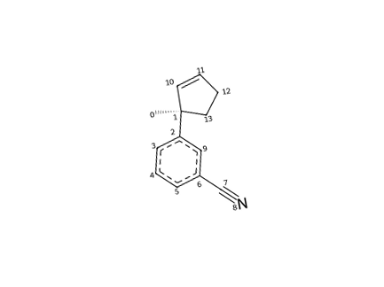 C[C@]1(c2cccc(C#N)c2)C=CCC1